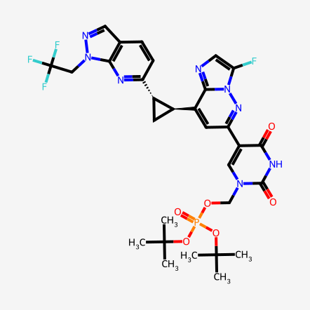 CC(C)(C)OP(=O)(OCn1cc(-c2cc([C@H]3C[C@@H]3c3ccc4cnn(CC(F)(F)F)c4n3)c3ncc(F)n3n2)c(=O)[nH]c1=O)OC(C)(C)C